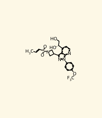 CC=CS(=O)(=O)N1CC(c2nn(-c3ccc(OC(F)(F)F)cc3)c3nccc([C@H](O)CO)c23)C1